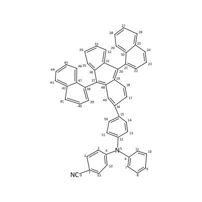 N#Cc1ccc(N(c2ccccc2)c2ccc(-c3ccc4c(-c5cccc6ccccc56)c5ccccc5c(-c5cccc6ccccc56)c4c3)cc2)cc1